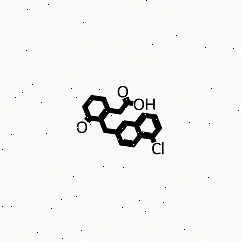 O=C(O)CC1=C(Cc2ccc3c(Cl)cccc3c2)C(=O)CCC1